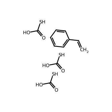 C=Cc1ccccc1.O=C(O)S.O=C(O)S.O=C(O)S